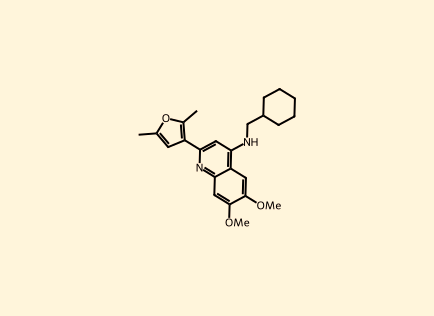 COc1cc2nc(-c3cc(C)oc3C)cc(NCC3CCCCC3)c2cc1OC